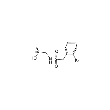 C[C@H](O)CNS(=O)(=O)Cc1ccccc1Br